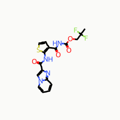 CC(F)(F)COC(=O)NC(=O)c1ccsc1NC(=O)c1cn2ccccc2n1